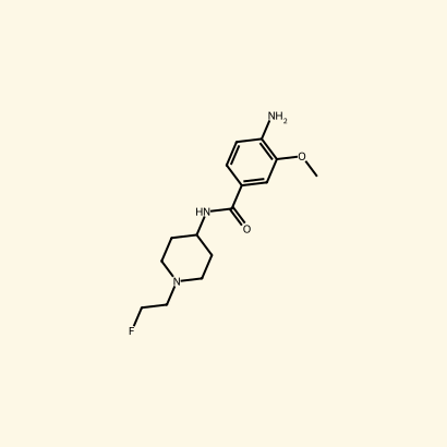 COc1cc(C(=O)NC2CCN(CCF)CC2)ccc1N